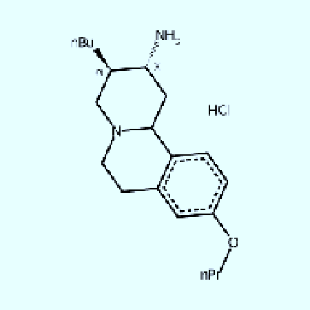 CCCC[C@@H]1CN2CCc3cc(OCCC)ccc3C2C[C@H]1N.Cl